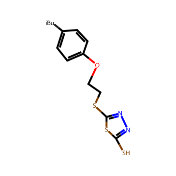 CCC(C)c1ccc(OCCSc2nnc(S)s2)cc1